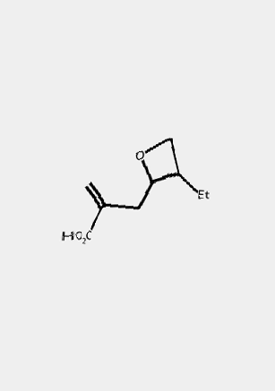 C=C(CC1OCC1CC)C(=O)O